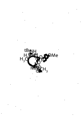 COc1ccc2c(O[C@@H]3CC4C(=O)N[C@]5(C(=O)NS(=O)(=O)C6(C)CC6)C[C@H]5/C=C\CC[C@@H](C)C[C@@H](C)[C@H](NC(=O)NC(C)(C)C)C(=O)N4C3)nccc2c1